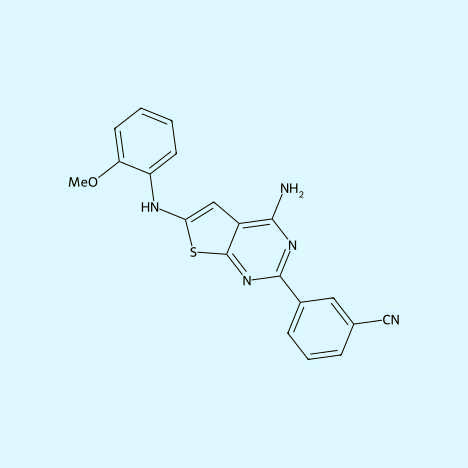 COc1ccccc1Nc1cc2c(N)nc(-c3cccc(C#N)c3)nc2s1